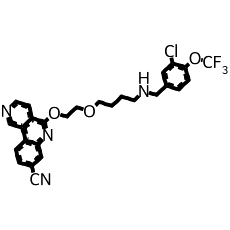 N#Cc1ccc2c(c1)nc(OCCOCCCCNCc1ccc(OC(F)(F)F)c(Cl)c1)c1ccncc12